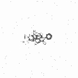 CCC(NC(=N)N)C1(C(N)=O)NCC2C(=O)N(c3ccccc3)C(=O)C21